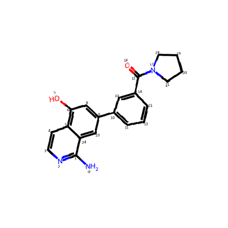 Nc1nccc2c(O)cc(-c3cccc(C(=O)N4CCCC4)c3)cc12